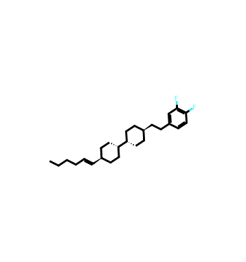 CCCCC=C[C@H]1CC[C@H]([C@H]2CC[C@H](CCc3ccc(F)c(F)c3)CC2)CC1